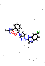 Cc1noc(-c2ccccc2C(=O)N2CC[C@@H](Nc3cnc4ccc(Cl)cc4n3)C2)n1